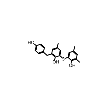 Cc1cc(C)c(O)c(Sc2cc(C)cc(Cc3ccc(O)cc3)c2O)c1